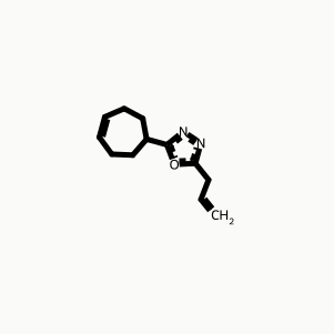 C=CCc1nnc(C2CCC=CCC2)o1